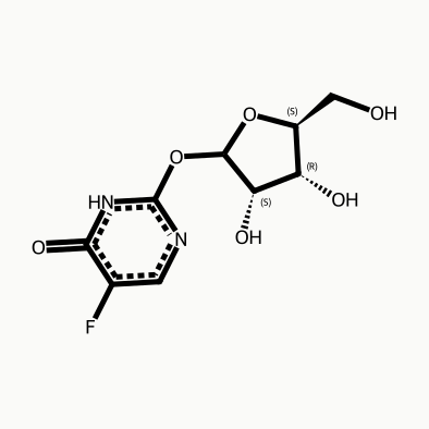 O=c1[nH]c(OC2O[C@@H](CO)[C@H](O)[C@@H]2O)ncc1F